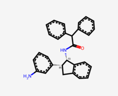 Nc1cccc([C@H]2Cc3ccccc3[C@H]2NC(=O)C(c2ccccc2)c2ccccc2)c1